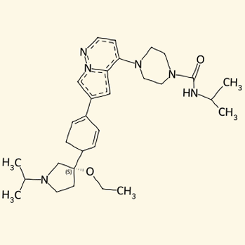 CCO[C@]1(C2C=CC(c3cc4c(N5CCN(C(=O)NC(C)C)CC5)ccnn4c3)=CC2)CCN(C(C)C)C1